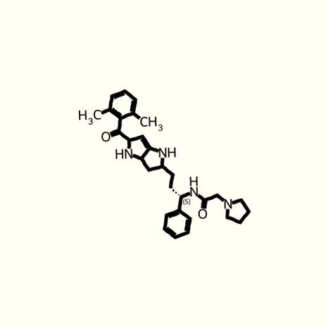 Cc1cccc(C)c1C(=O)C1C=C2NC(CC[C@H](NC(=O)CN3CCCC3)c3ccccc3)CC2N1